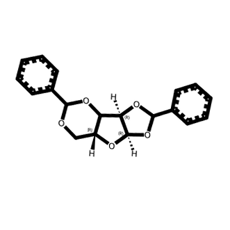 c1ccc(C2OC[C@H]3O[C@@H]4OC(c5ccccc5)O[C@@H]4C3O2)cc1